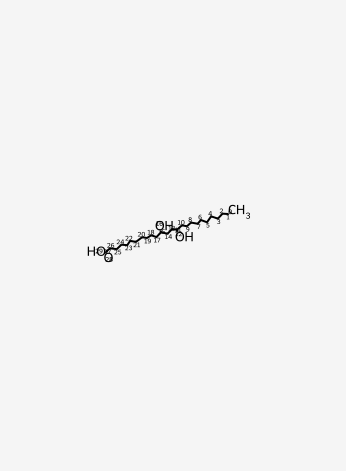 CCCCCCCCCCCC(O)CCC(O)CCCCCCCCCCC(=O)O